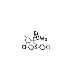 CCOCC(CC[Si](C)(c1ccc(Cl)cc1)c1ccc(Cl)cc1)(COC)C1CC(C)CC(C)C1